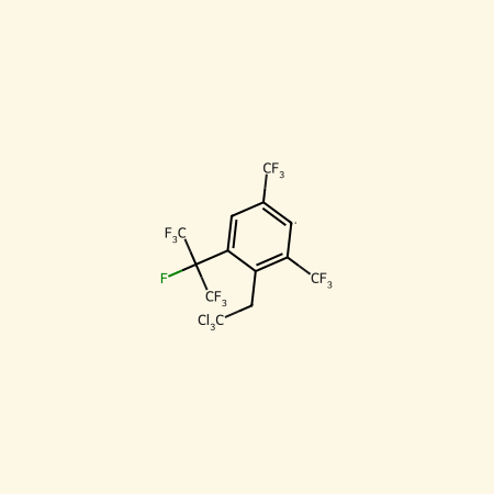 FC(F)(F)c1[c]c(C(F)(F)F)c(CC(Cl)(Cl)Cl)c(C(F)(C(F)(F)F)C(F)(F)F)c1